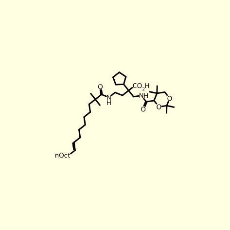 CCCCCCCCC=CCCCCCCC(C)(C)C(=O)NCCC(CNC(=O)C1OC(C)(C)OCC1(C)C)(C(=O)O)C1CCCC1